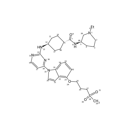 CCN1CCC[C@@H](NC(=O)[C@H]2CC[C@H](Nc3nccc(-n4ccc5c(OCCCS(C)(=O)=O)cccc54)n3)CC2)C1